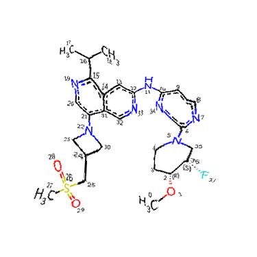 CO[C@@H]1CCN(c2nccc(Nc3cc4c(C(C)C)ncc(N5CC(CS(C)(=O)=O)C5)c4cn3)n2)C[C@@H]1F